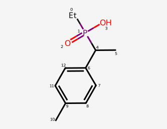 CCP(=O)(O)C(C)c1ccc(C)cc1